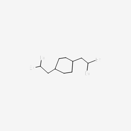 CCC(Br)CC1[CH]CC(CC(Br)CC)[CH]C1